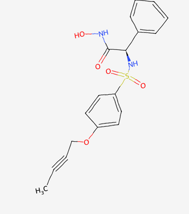 CC#CCOc1ccc(S(=O)(=O)N[C@@H](C(=O)NO)c2ccccc2)cc1